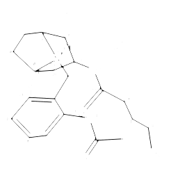 Br.Br.CCC(=O)Oc1ccccc1C[N+]1(C)[C@@H]2CC[C@H]1CC(OC(=O)CCCC(=O)O)C2